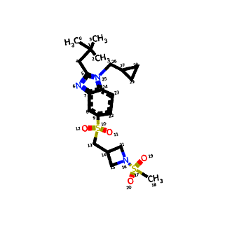 CC(C)(C)Cc1nc2cc(S(=O)(=O)CC3CN(S(C)(=O)=O)C3)ccc2n1CC1CC1